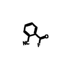 N#Cc1ccccc1C(=O)F